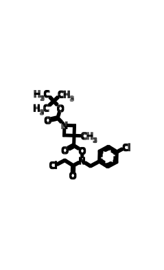 CC(C)(C)OC(=O)N1CC(C)(C(=O)ON(Cc2ccc(Cl)cc2)C(=O)CCl)C1